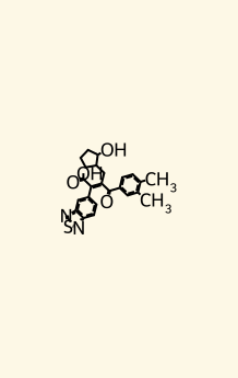 Cc1ccc(C(=O)C(CC2CCCC2O)=C(C(=O)O)c2ccc3nsnc3c2)cc1C